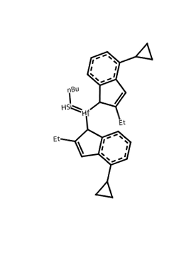 CCCC[SiH]=[Hf]([CH]1C(CC)=Cc2c(C3CC3)cccc21)[CH]1C(CC)=Cc2c(C3CC3)cccc21